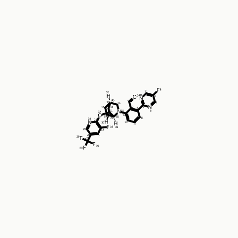 O=Cc1c(-c2ncc(F)cn2)cccc1N1C[C@@H]2CC[C@H]1[C@H](Oc1ncc(C(F)(F)F)cc1F)C2